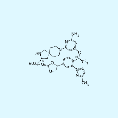 CCOC(=O)[C@@H]1CC2(CCN(c3cc(O[C@H](c4ccc(C5COC(=O)O5)cc4-n4ccc(C)n4)C(F)(F)F)nc(N)n3)CC2)CN1